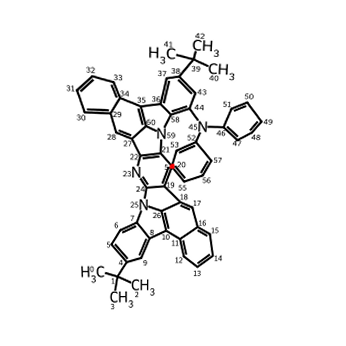 CC(C)(C)c1ccc2c(c1)c1c3ccccc3cc3c4cc5c(nc4n2c31)c1cc2ccccc2c2c3cc(C(C)(C)C)cc(N(c4ccccc4)c4ccccc4)c3n5c12